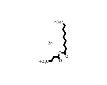 CCCCCCCCCCCCCCCCCC(=O)OC(=O)CCC(=O)O.[Zn]